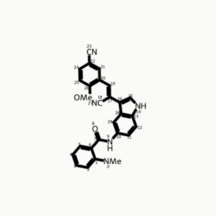 CNc1ccccc1C(=O)Nc1ccc2[nH]cc(/C(C#N)=C/c3cc(C#N)ccc3OC)c2c1